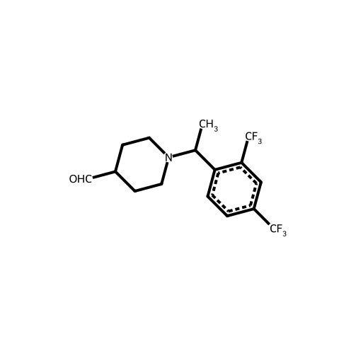 CC(c1ccc(C(F)(F)F)cc1C(F)(F)F)N1CCC(C=O)CC1